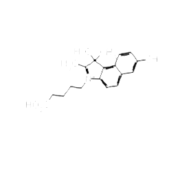 CC1=[N+](CCCCC(=O)O)c2ccc3cc(S)ccc3c2C1(C)C